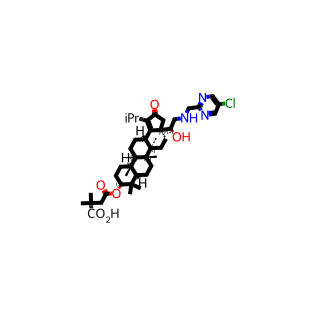 CC(C)C1=C2[C@H]3CC[C@@H]4[C@@]5(C)CC[C@H](OC(=O)CC(C)(C)C(=O)O)C(C)(C)[C@H]5CC[C@@]4(C)[C@]3(C)CC[C@@]2([C@H](O)CNCc2ncc(Cl)cn2)CC1=O